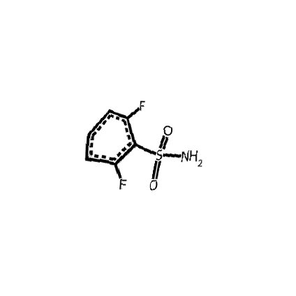 NS(=O)(=O)c1c(F)cccc1F